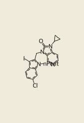 CCCCCn1c(Cn2c(=O)n(C3CC3)c3ccncc32)c(I)c2ccc(Cl)cc21